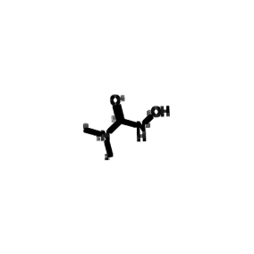 CN(C)C(=O)NO